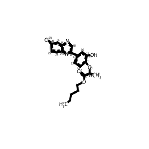 CCCCCOC(=O)C(C)Oc1ccc(-c2cnc3cc(Cl)ccc3n2)cc1O